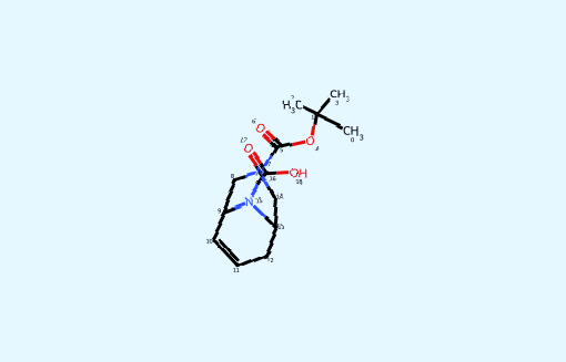 CC(C)(C)OC(=O)N1CC2C=CCC(C1)N2C(=O)O